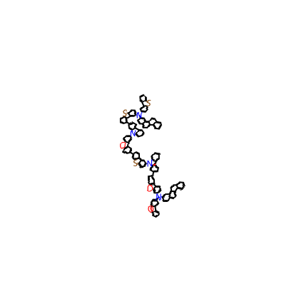 c1ccc2c(c1)ccc1c3cc(N(c4ccc5c(c4)oc4ccc(-c6ccc7c8ccccc8n(-c8ccc9sc%10cc(-c%11ccc%12oc%13ccc(-n%14c%15ccccc%15c%15ccc(-c%16cccc%17sc%18ccc(N(c%19ccc%20ccc%21c%22ccccc%22ccc%21c%20c%19)c%19ccc%20sc%21ccccc%21c%20c%19)cc%18c%16%17)cc%15%14)cc%13c%12c%11)ccc%10c9c8)c7c6)cc45)c4ccc5oc6ccccc6c5c4)ccc3ccc21